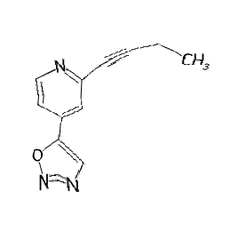 CCC#Cc1cc(-c2cnno2)ccn1